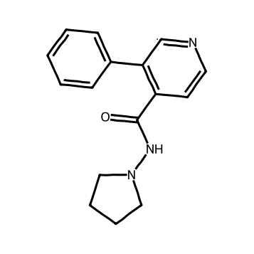 O=C(NN1CCCC1)c1ccn[c]c1-c1ccccc1